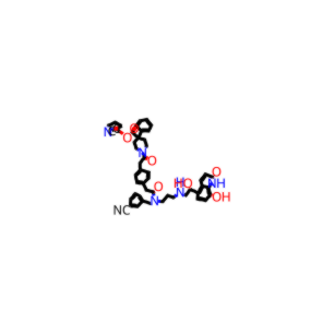 N#Cc1cccc(CN(CCCNCC(O)c2ccc(O)c3[nH]c(=O)ccc23)C(=O)Cc2ccc(CC(=O)N3CCC(C(=O)OC4CN5CCC4CC5)(c4ccccc4)CC3)cc2)c1